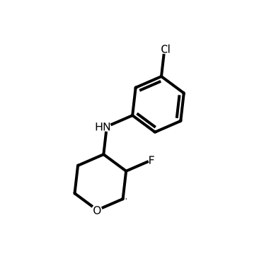 FC1[CH]OCCC1Nc1cccc(Cl)c1